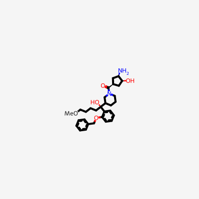 COCCCC[C@@](O)(c1ccccc1OCc1ccccc1)C1CCCN(C(=O)[C@H]2C[C@@H](N)[C@@H](O)C2)C1